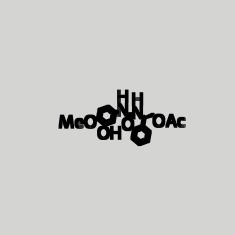 COc1ccc(NC(=O)N[C@@H](COC(C)=O)c2ccccc2)cc1O